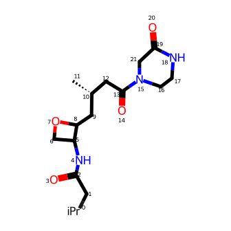 CC(C)CC(=O)NC1COC1C[C@H](C)CC(=O)N1CCNC(=O)C1